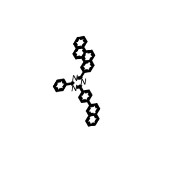 c1ccc(-c2nc(-c3ccc(-c4ccc5ccccc5c4)cc3)nc(-c3ccc4ccc5c6ccccc6ccc5c4c3)n2)cc1